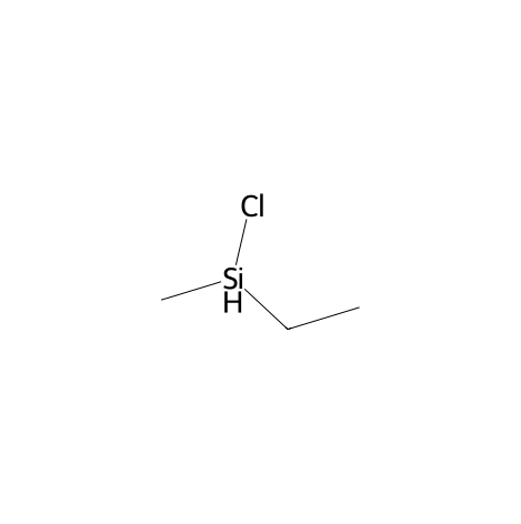 CC[SiH](C)Cl